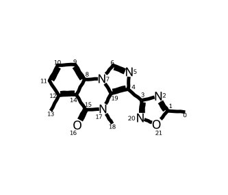 Cc1nc(-c2ncn3c4cccc(C)c4c(=O)n(C)c23)no1